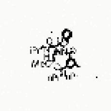 CCCN(CCC)C(=O)c1cc(C)cc(C(=O)N[C@@H](Cc2ccccc2)[C@@H](O)[C@@H](OCCOC)C(=O)NCC(C)C)c1